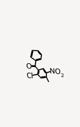 Cc1cc(Cl)c(C(=O)c2ccccc2)cc1[N+](=O)[O-]